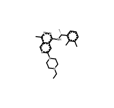 CCN1CCN(c2cc3c(N[C@H](C)c4cccc(C)c4C)nnc(C)c3cn2)CC1